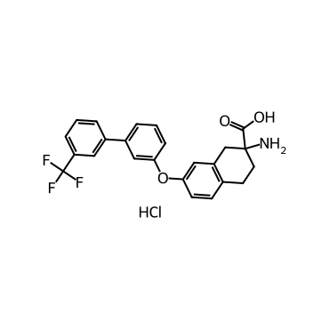 Cl.NC1(C(=O)O)CCc2ccc(Oc3cccc(-c4cccc(C(F)(F)F)c4)c3)cc2C1